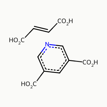 O=C(O)C=CC(=O)O.O=C(O)c1cncc(C(=O)O)c1